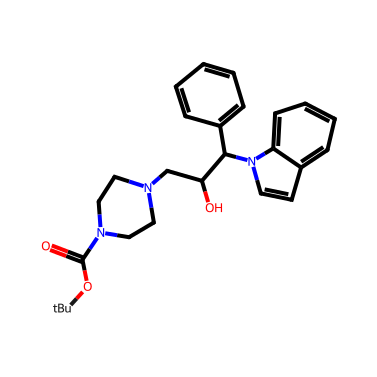 CC(C)(C)OC(=O)N1CCN(CC(O)C(c2ccccc2)n2ccc3ccccc32)CC1